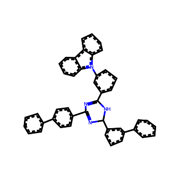 c1ccc(-c2ccc(C3=NC(c4cccc(-c5ccccc5)c4)NC(c4cccc(-n5c6ccccc6c6ccccc65)c4)=N3)cc2)cc1